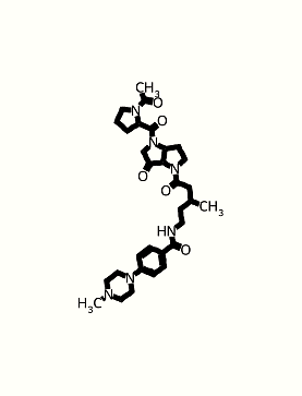 CC(=O)N1CCCC1C(=O)N1CC(=O)C2C1CCN2C(=O)CC(C)CCNC(=O)c1ccc(N2CCN(C)CC2)cc1